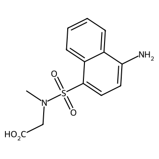 CN(CC(=O)O)S(=O)(=O)c1ccc(N)c2ccccc12